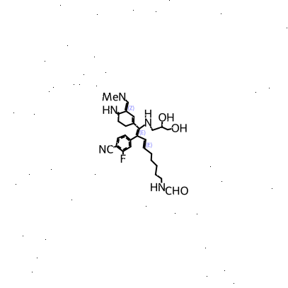 CN/C=C1C=C(/C(NCC(O)CO)=C(/C=C/CCCCCNC=O)c2ccc(C#N)c(F)c2)CCC/1=N